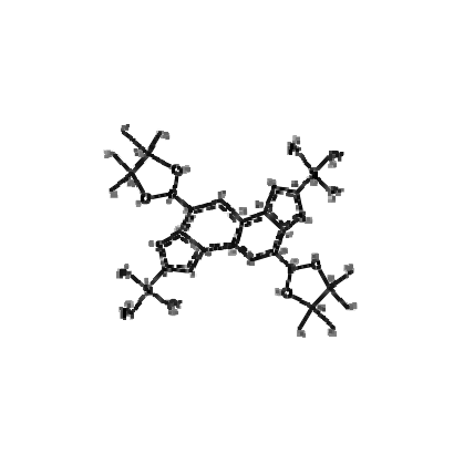 CC(C)[Si](c1cc2c(s1)c(B1OC(C)(C)C(C)(C)O1)cc1c3cc([Si](C(C)C)(C(C)C)C(C)C)sc3c(B3OC(C)(C)C(C)(C)O3)cc21)(C(C)C)C(C)C